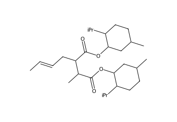 CC=CCC(C(=O)OC1CC(C)CCC1C(C)C)C(C)C(=O)OC1CC(C)CCC1C(C)C